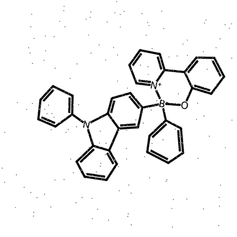 c1ccc(-n2c3ccccc3c3cc([B-]4(c5ccccc5)Oc5ccccc5-c5cccc[n+]54)ccc32)cc1